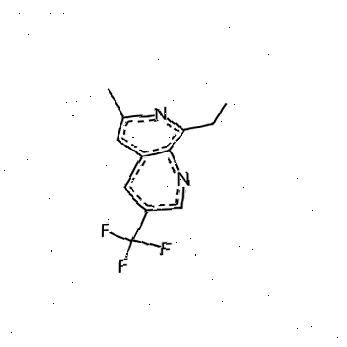 CCc1nc(C)cc2cc(C(F)(F)F)cnc12